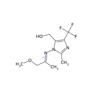 COC/C(C)=N/n1c(C)nc(C(F)(F)F)c1CO